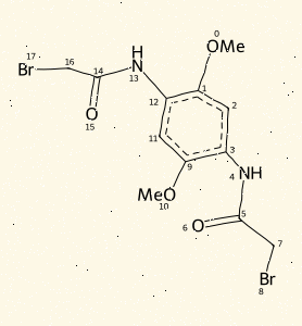 COc1cc(NC(=O)CBr)c(OC)cc1NC(=O)CBr